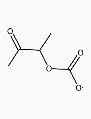 CC(=O)C(C)OC([O])=O